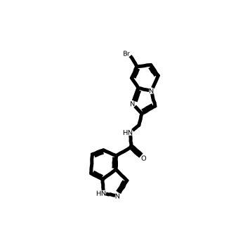 O=C(NCc1cn2ccc(Br)cc2n1)c1cccc2[nH]ncc12